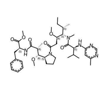 CC[C@H](C)[C@@H]([C@@H](CC(=O)N1CCC[C@H]1[C@H](OC)[C@@H](C)C(=O)N[C@@H](Cc1ccccc1)C(=O)OC)OC)N(C)C(=O)[C@@H](Nc1cc(C)ncn1)C(C)C